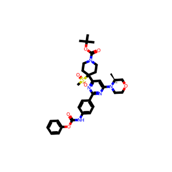 C[C@H]1COCCN1c1cc(C2(S(C)(=O)=O)CCN(C(=O)OC(C)(C)C)CC2)nc(-c2ccc(NC(=O)Oc3ccccc3)cc2)n1